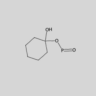 O=POC1(O)CCCCC1